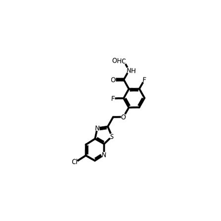 O=CNC(=O)c1c(F)ccc(OCc2nc3cc(Cl)cnc3s2)c1F